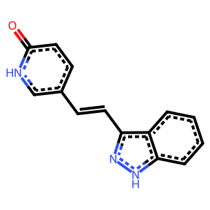 O=c1ccc(C=Cc2n[nH]c3ccccc23)c[nH]1